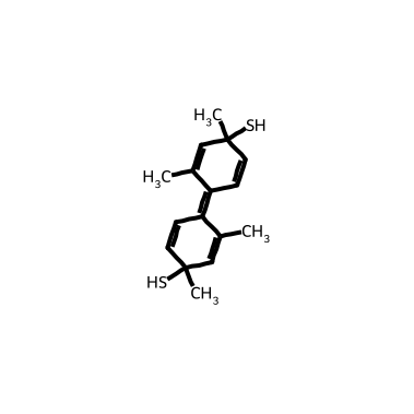 CC1=CC(C)(S)C=CC1=C1C=CC(C)(S)C=C1C